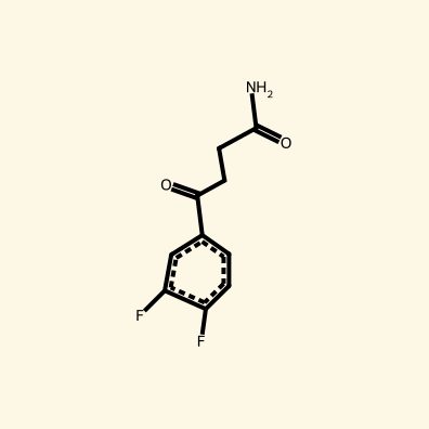 NC(=O)CCC(=O)c1ccc(F)c(F)c1